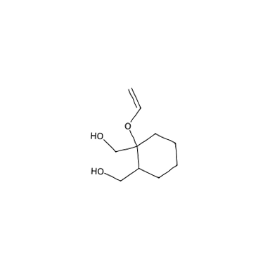 C=COC1(CO)CCCCC1CO